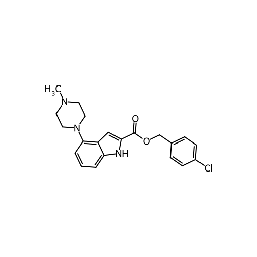 CN1CCN(c2cccc3[nH]c(C(=O)OCc4ccc(Cl)cc4)cc23)CC1